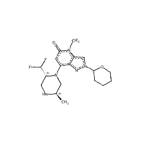 C[C@@H]1CN(c2cc(=O)n(C)c3cn(C4CCCCO4)nc23)[C@@H](C(F)F)CN1